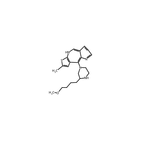 COCCCCC1CN(C2=c3ncccc3=CNc3sc(C)cc32)CCN1